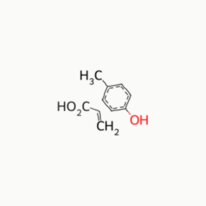 C=CC(=O)O.Cc1ccc(O)cc1